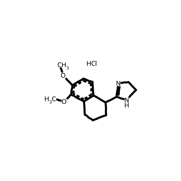 COc1ccc2c(c1OC)CCCC2C1=NCCN1.Cl